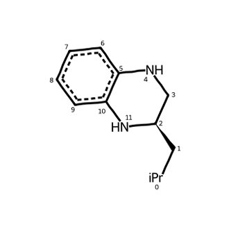 CC(C)C[C@@H]1CNc2ccccc2N1